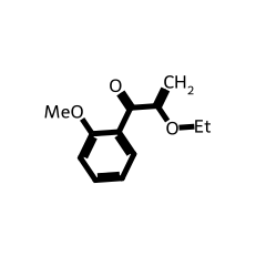 C=C(OCC)C(=O)c1ccccc1OC